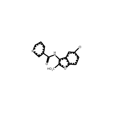 O=C(Nc1c(C(=O)O)oc2ccc(Cl)cc12)c1cccnc1